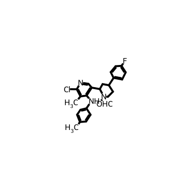 Cc1ccc(Nc2c(C3CC(c4ccc(F)cc4)CCN3C=O)cnc(Cl)c2C)cc1